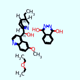 CCOCC.CC[C@H]1C[N@]2CC[C@H]1C[C@@H]2[C@@H](O)c1ccnc2ccc(OC)cc12.Oc1nnc(O)c2ccccc12